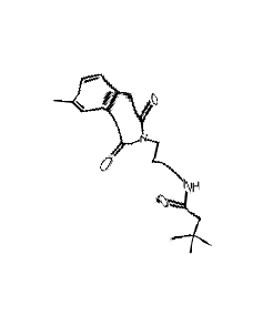 Cc1ccc2c(c1)C(=O)N(CCNC(=O)CC(C)(C)C)C2=O